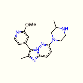 COc1cc(-c2c(C)nc3ccc(N4CCNC(C)C4)nn23)ccn1